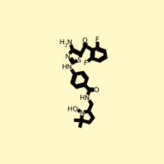 CC1(C)CCC(CNC(=O)c2ccc(Nc3nc(N)c(C(=O)c4c(F)cccc4F)s3)cc2)N1O